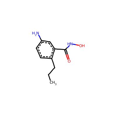 CCCc1ccc(N)cc1C(=O)NO